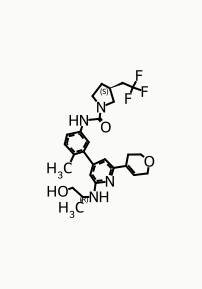 Cc1ccc(NC(=O)N2CC[C@@H](CC(F)(F)F)C2)cc1-c1cc(N[C@H](C)CO)nc(C2=CCOCC2)c1